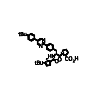 CC(C)(C)c1ccc(-c2cnc(-c3ccc(C[C@H](NC(=O)c4ccc(C(C)(C)C)s4)C(=O)N4CCC[C@H]4C(=O)O)cc3)nc2)cc1